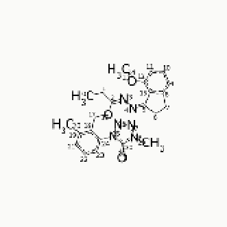 CC/C(=N/N=C1/CCc2cccc(OC)c21)OCc1c(C)cccc1-n1nnn(C)c1=O